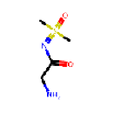 CS(C)(=O)=NC(=O)CN